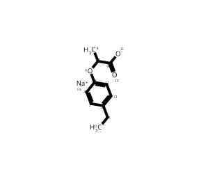 CCc1ccc(OC(C)C(=O)[O-])cc1.[Na+]